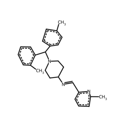 Cc1ccc(C(c2ccccc2C)N2CCC(/N=C/c3cccc(C)n3)CC2)cc1